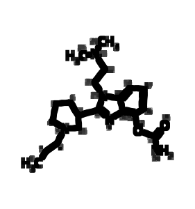 CCCN1CCCC(c2nc3c(OC(N)=O)cccc3n2CCN(C)C)C1